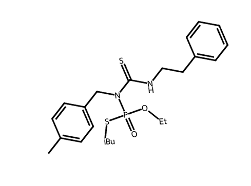 CCOP(=O)(SC(C)CC)N(Cc1ccc(C)cc1)C(=S)NCCc1ccccc1